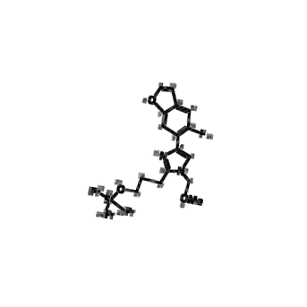 COCn1cc(-c2cc3occc3cc2F)nc1CCCO[Si](C(C)C)(C(C)C)C(C)C